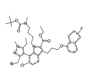 CCOC(=O)c1c(CCCOc2cccc3cc(F)ccc23)c2ccc(Cl)c(-c3c(CBr)nn(C)c3CC)c2n1CCCCN(C)C(=O)OC(C)(C)C